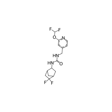 O=C(NCc1ccnc(OC(F)F)c1)NC1CC2CC1CC2(F)F